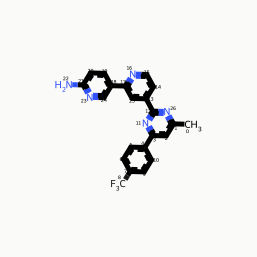 Cc1cc(-c2ccc(C(F)(F)F)cc2)nc(-c2ccnc(-c3ccc(N)nc3)c2)n1